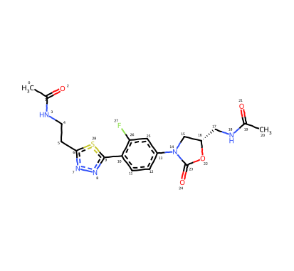 CC(=O)NCCc1nnc(-c2ccc(N3C[C@H](CNC(C)=O)OC3=O)cc2F)s1